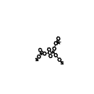 C[Si](C)(C)c1ccc(-c2ccc(N(c3ccc(-c4ccc5c(c4)[Si](C)(C)c4ccccc4-5)cc3)c3c4ccccc4c(-c4ccc5c(c4)c4ccccc4n5-c4ccc([Si](C)(C)C)cc4)c4ccccc34)cc2)cc1